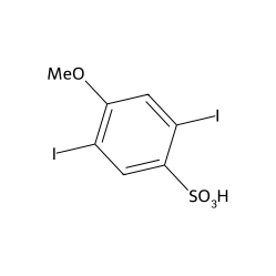 COc1cc(I)c(S(=O)(=O)O)cc1I